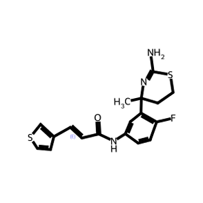 CC1(c2cc(NC(=O)/C=C/c3ccsc3)ccc2F)CCSC(N)=N1